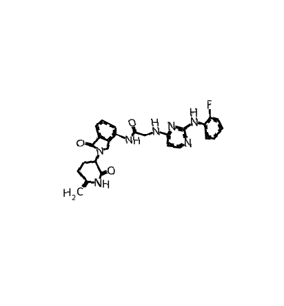 C=C1CCC(N2Cc3c(NC(=O)CNc4ccnc(Nc5ccccc5F)n4)cccc3C2=O)C(=O)N1